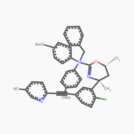 COc1ccc([N+](Cc2ccccc2)(C2=N[C@](C)(c3cc(C#Cc4ccc(C#N)cn4)ccc3F)C[C@@H](C(F)(F)F)O2)c2ccc(OC)cc2)cc1